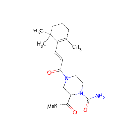 CNC(=O)C1CN(C(=O)/C=C/C2=C(C)CCCC2(C)C)CCN1C(N)=O